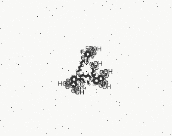 CC[N+]1=C(/C=C/C=C2/N(CCCCCC(=O)Oc3c(F)c(F)c(S(=O)(=O)O)c(F)c3F)c3ccc4c(S(=O)(=O)O)cc(S(=O)(=O)O)cc4c3C2(C)CCOC)C(C)(CCCS(=O)(=O)O)c2c1ccc1c(S(=O)(=O)O)cc(S(=O)(=O)O)cc21